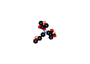 c1ccc2c(c1)Oc1ccccc1C21c2ccccc2-c2cc(N(c3ccc(-c4ccc5c(c4)oc4ccccc45)cc3)c3ccc4c(c3)-c3ccccc3C43c4ccccc4Sc4ccccc43)ccc21